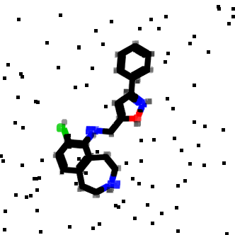 Clc1ccc2c(c1NCc1cc(-c3ccccc3)no1)CCNCC2